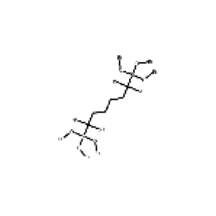 CCO[Si](OCC)(OCC)C(S)(S)CCCCC(S)(S)[Si](OCC)(OCC)OCC